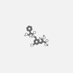 COCC(C(=O)NCc1cc(Cl)cc2cc(C(=O)OC)c(OC)nc12)c1ccccc1